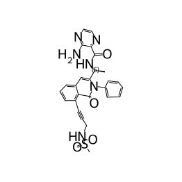 C[C@H](NC(=O)c1nccnc1N)c1cc2cccc(C#CCNS(C)(=O)=O)c2c(=O)n1-c1ccccc1